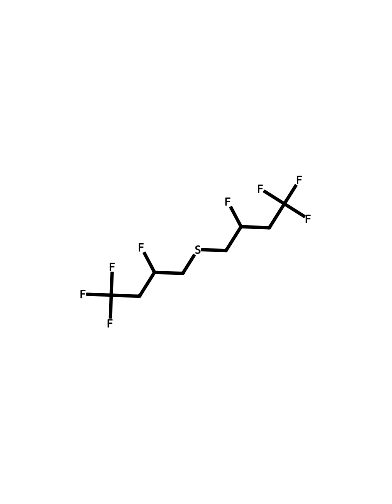 FC(CSCC(F)CC(F)(F)F)CC(F)(F)F